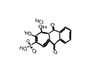 Cl.O=C1c2ccccc2C(=O)c2c1cc(S(=O)(=O)O)c(O)c2O